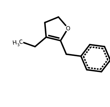 CCC1=C(Cc2ccccc2)OCC1